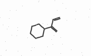 C=CC(=C)C1CCCCC1